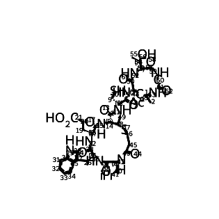 CC(=O)[C@]1(C)C[C@H](NC(=O)[C@@H](CS)NC(=O)[C@H]2NC(=O)[C@H](CCC(=O)O)NC(=O)[C@H](Cc3c[nH]c4ccccc34)NC(=O)[C@H](CC(C)C)NC(=O)CCSC2C)C(=O)N[C@@H]([C@@H](C)O)C(=O)NCC(=O)N1